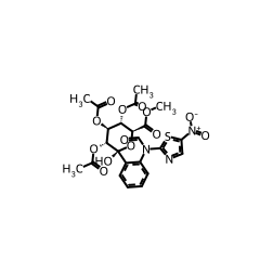 COC(=O)[C@H]1O[C@](O)(c2ccccc2N(C=O)c2ncc([N+](=O)[O-])s2)[C@H](OC(C)=O)[C@@H](OC(C)=O)[C@@H]1OC(C)=O